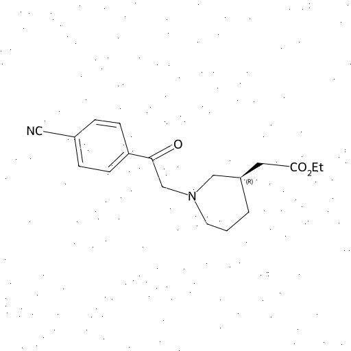 CCOC(=O)C[C@H]1CCCN(CC(=O)c2ccc(C#N)cc2)C1